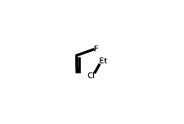 C=CF.CCCl